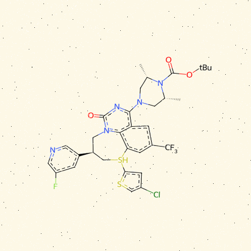 C[C@@H]1CN(c2nc(=O)n3c4c(cc(C(F)(F)F)cc24)[SH](c2cc(Cl)cs2)C[C@@H](c2cncc(F)c2)C3)C[C@H](C)N1C(=O)OC(C)(C)C